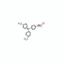 CCOCC.Cc1cc[c]([Al]([c]2ccc(C)cc2)[c]2ccc(C)cc2)cc1